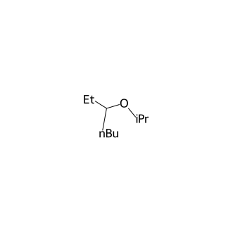 [CH2]CC(CCCC)OC(C)C